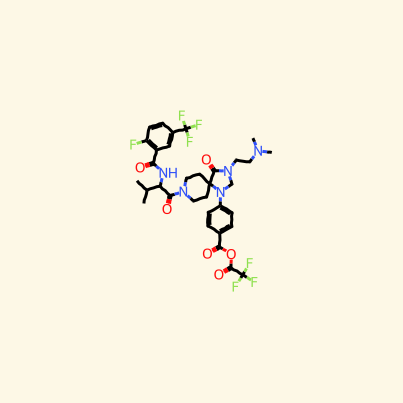 CC(C)C(NC(=O)c1cc(C(F)(F)F)ccc1F)C(=O)N1CCC2(CC1)C(=O)N(CCN(C)C)CN2c1ccc(C(=O)OC(=O)C(F)(F)F)cc1